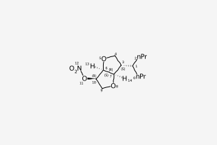 CCCC(CCC)[C@H]1CO[C@H]2[C@@H]1OC[C@H]2O[N+](=O)[O-]